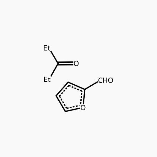 CCC(=O)CC.O=Cc1ccco1